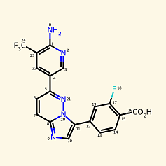 Nc1ncc(-c2ccc3ncc(-c4ccc(C(=O)O)c(F)c4)n3n2)cc1C(F)(F)F